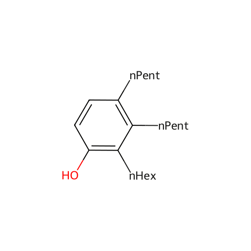 CCCCCCc1c(O)ccc(CCCCC)c1CCCCC